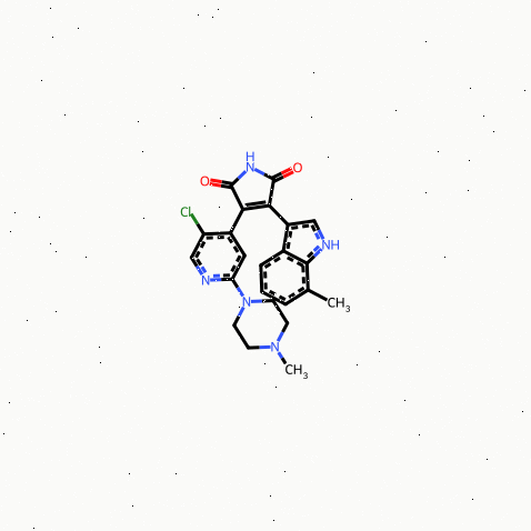 Cc1cccc2c(C3=C(c4cc(N5CCN(C)CC5)ncc4Cl)C(=O)NC3=O)c[nH]c12